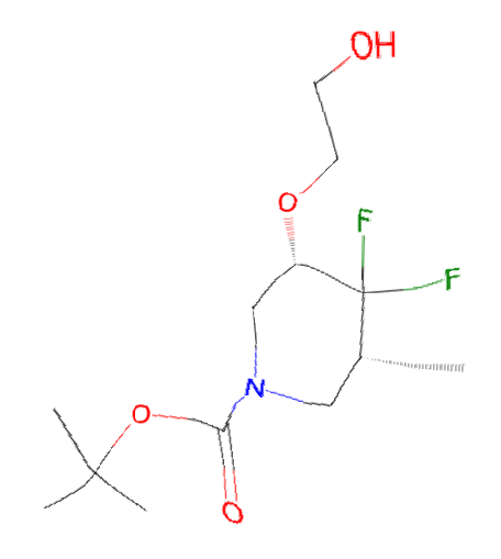 C[C@@H]1CN(C(=O)OC(C)(C)C)C[C@H](OCCO)C1(F)F